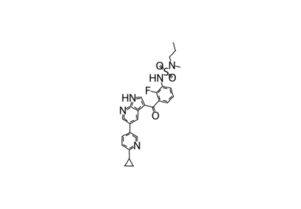 CCCN(C)S(=O)(=O)Nc1cccc(C(=O)c2c[nH]c3ncc(-c4ccc(C5CC5)nc4)cc23)c1F